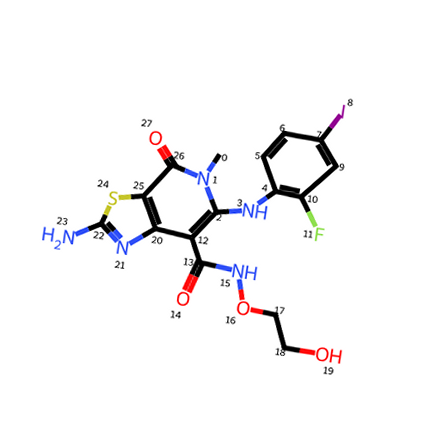 Cn1c(Nc2ccc(I)cc2F)c(C(=O)NOCCO)c2nc(N)sc2c1=O